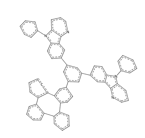 c1ccc(-n2c3ccc(-c4cc(-c5ccc6c(c5)-c5ccccc5-c5ccccc5-c5ccccc5-6)cc(-c5ccc6c(c5)c5ncccc5n6-c5ccccc5)c4)cc3c3ncccc32)cc1